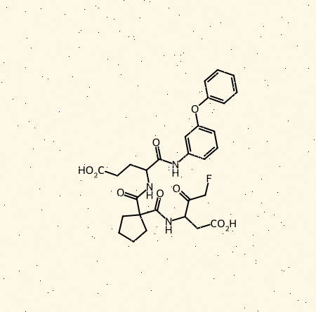 O=C(O)CCC(NC(=O)C1(C(=O)NC(CC(=O)O)C(=O)CF)CCCC1)C(=O)Nc1cccc(Oc2ccccc2)c1